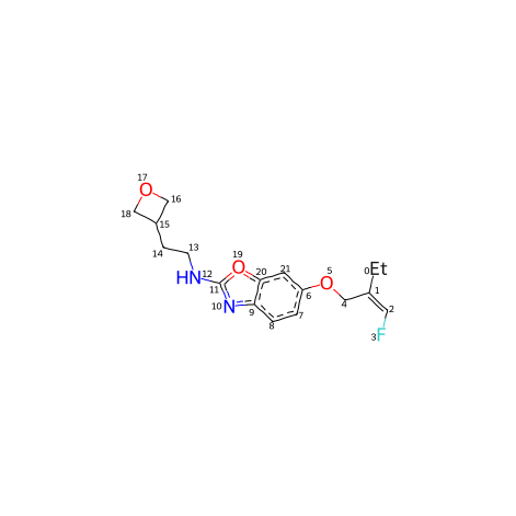 CC/C(=C/F)COc1ccc2nc(NCCC3COC3)oc2c1